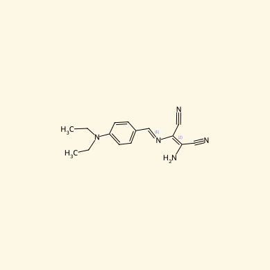 CCN(CC)c1ccc(/C=N/C(C#N)=C(\N)C#N)cc1